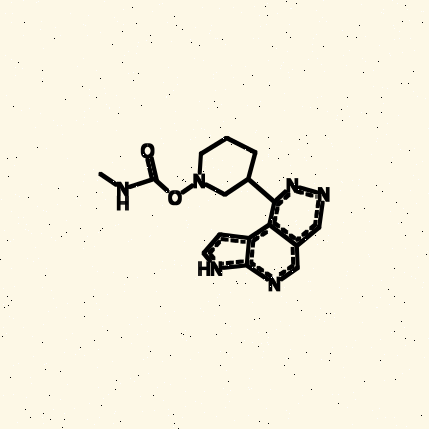 CNC(=O)ON1CCCC(c2nncc3cnc4[nH]ccc4c23)C1